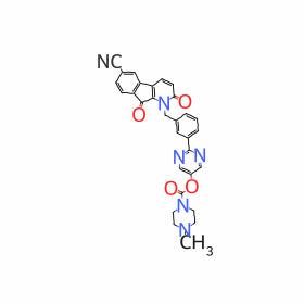 CN1CCN(C(=O)Oc2cnc(-c3cccc(Cn4c5c(ccc4=O)-c4cc(C#N)ccc4C5=O)c3)nc2)CC1